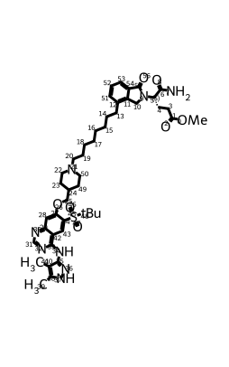 COC(=O)CC[C@@H](C(N)=O)N1Cc2c(CCCCCCCCN3CCC(COc4cc5ncnc(Nc6n[nH]c(C)c6C)c5cc4S(=O)(=O)C(C)(C)C)CC3)cccc2C1=O